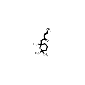 CC=CC(=O)CC1(C)CCCC(C)(C)O1